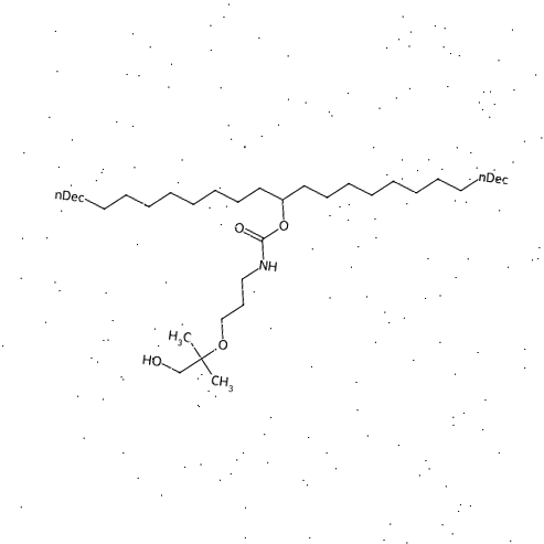 CCCCCCCCCCCCCCCCCCC(CCCCCCCCCCCCCCCCCC)OC(=O)NCCCOC(C)(C)CO